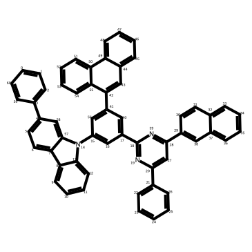 c1ccc(-c2ccc3c4ccccc4n(-c4cc(-c5nc(-c6ccccc6)cc(-c6ccc7ccccc7c6)n5)cc(-c5cc6ccccc6c6ccccc56)c4)c3c2)cc1